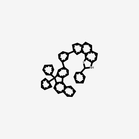 c1ccc(C2Nc3ccc4ccc5ccc(-c6cccc(-c7ccc8c(c7)C(c7ccccc7)(c7ccccc7)c7ccc9ccccc9c7-8)c6)cc5c4c3S2)cc1